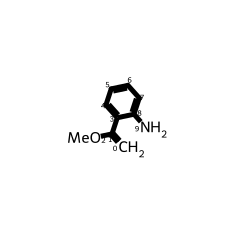 C=C(OC)c1ccccc1N